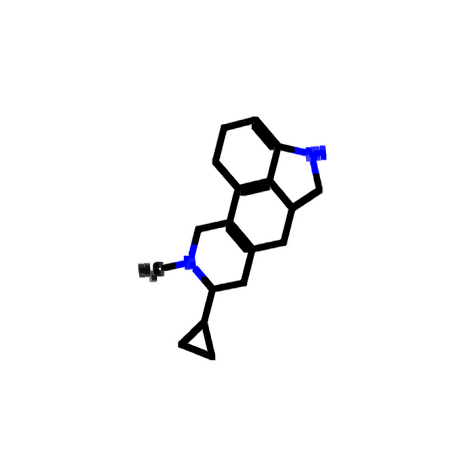 CN1CC2=C(CC3CNC4=CCCC2=C43)CC1C1CC1